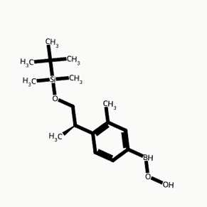 Cc1cc(BOO)ccc1[C@@H](C)CO[Si](C)(C)C(C)(C)C